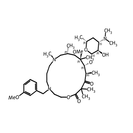 COc1cccc(CN2CCCN(C)C[C@H](C)C[C@@](C)(OC)[C@H](O[C@@H]3O[C@H](C)C[C@H](N(C)C)[C@H]3O)[C@@H](C)C(=O)C(C)(C)C(=O)OCC2)c1